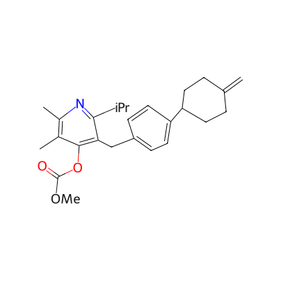 C=C1CCC(c2ccc(Cc3c(C(C)C)nc(C)c(C)c3OC(=O)OC)cc2)CC1